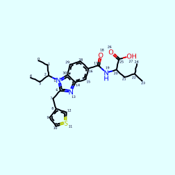 CCC(CC)n1c(Cc2ccsc2)nc2cc(C(=O)NC(CC(C)C)C(=O)O)ccc21